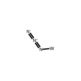 [N-]=[N+]=[N][W]